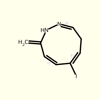 C=C1/C=C\C(I)=C/C/C=N\N1